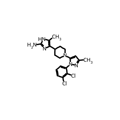 Cc1cc(N2CCC(c3nc(N)[nH]c3C)CC2)n(-c2cccc(Cl)c2Cl)n1